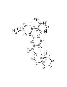 CCc1ncnc(-c2ccc(C(=O)N3CCN4CCCC[C@@H]4C3)c(F)c2)c1-c1ccc(N)nc1